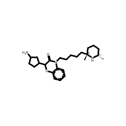 C[C@H]1CCC[C@@](C)(CCCCCN2C(=O)C(C3CCC(N)C3)Oc3ccccc32)N1